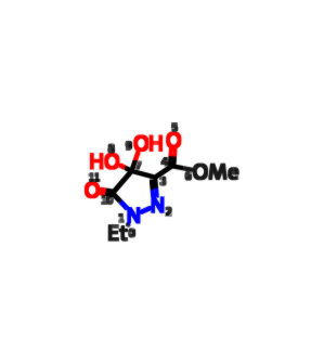 CCN1N=C(C(=O)OC)C(O)(O)C1=O